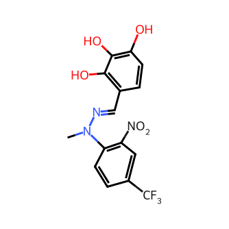 CN(N=Cc1ccc(O)c(O)c1O)c1ccc(C(F)(F)F)cc1[N+](=O)[O-]